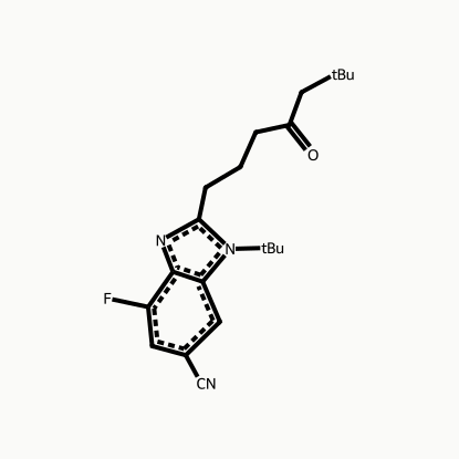 CC(C)(C)CC(=O)CCCc1nc2c(F)cc(C#N)cc2n1C(C)(C)C